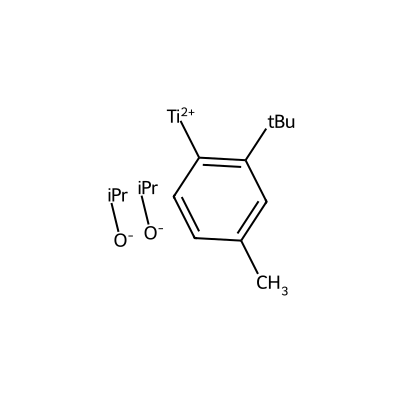 CC(C)[O-].CC(C)[O-].Cc1cc[c]([Ti+2])c(C(C)(C)C)c1